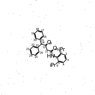 CC(C)c1cccc(C(C)C)c1NC(=O)CC(=O)C(c1ccccc1)c1ccccc1